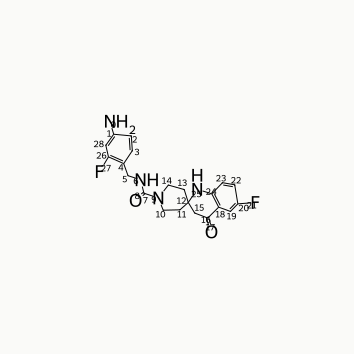 Nc1ccc(CNC(=O)N2CCC3(CC2)CC(=O)c2cc(F)ccc2N3)c(F)c1